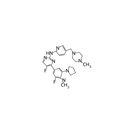 C=Nc1c(F)cc(-c2nc(Nc3ccc(CN4CCN(C)CC4)cn3)ncc2F)cc1N1CCCC1